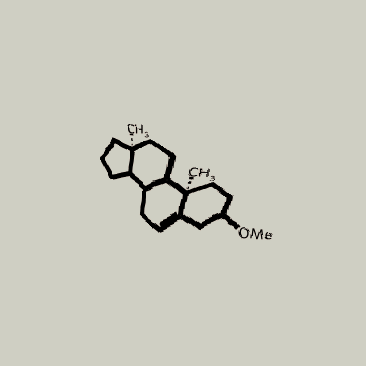 COC1CC[C@@]2(C)C(=CCC3C4CCC[C@@]4(C)CCC32)C1